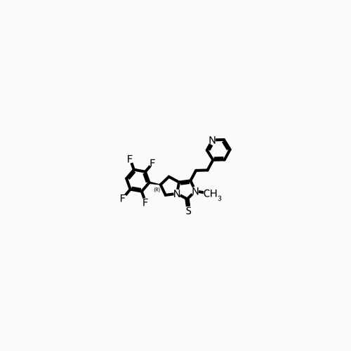 Cn1c(CCc2cccnc2)c2n(c1=S)C[C@@H](c1c(F)c(F)cc(F)c1F)C2